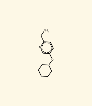 NCc1ccc(OC2CCCCC2)cn1